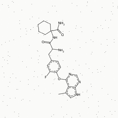 Cc1c[nH]c2ncnc(Oc3ccc(CC(N)C(=O)NC4(C(N)=O)CCCCC4)cc3F)c12